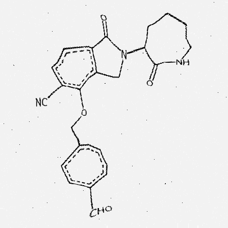 N#Cc1ccc2c(c1OCc1ccc(C=O)cc1)CN(C1CCCCNC1=O)C2=O